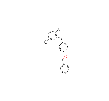 Cc1ccc(C)c(Cc2ccc(OCc3ccccc3)cc2)c1